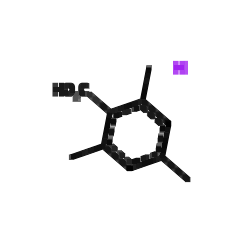 Cc1cc(C)c(C(=O)O)c(C)c1.I